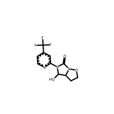 O=C1N2OCCC2C(O)N1c1cc(C(F)(F)F)ccn1